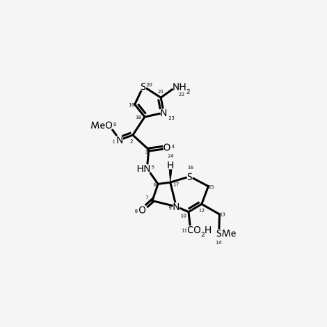 CON=C(C(=O)NC1C(=O)N2C(C(=O)O)=C(CSC)CS[C@@H]12)c1csc(N)n1